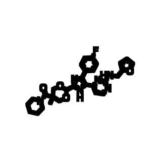 CC1(C(=O)N2CCCCC2)COC(c2nc(-c3ccc(F)cc3)c(-c3ccnc(NCc4ccco4)n3)[nH]2)OC1